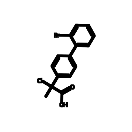 CC(Cl)(C(=O)O)c1ccc(-c2ccccc2Br)cc1